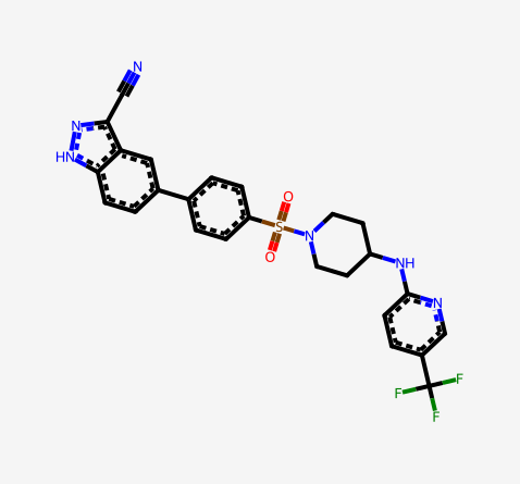 N#Cc1n[nH]c2ccc(-c3ccc(S(=O)(=O)N4CCC(Nc5ccc(C(F)(F)F)cn5)CC4)cc3)cc12